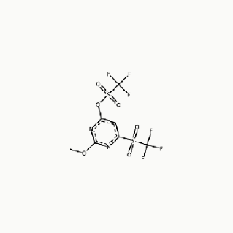 COc1nc(OS(=O)(=O)C(F)(F)F)cc(S(=O)(=O)C(F)(F)F)n1